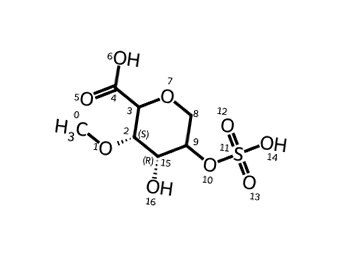 CO[C@@H]1C(C(=O)O)OCC(OS(=O)(=O)O)[C@@H]1O